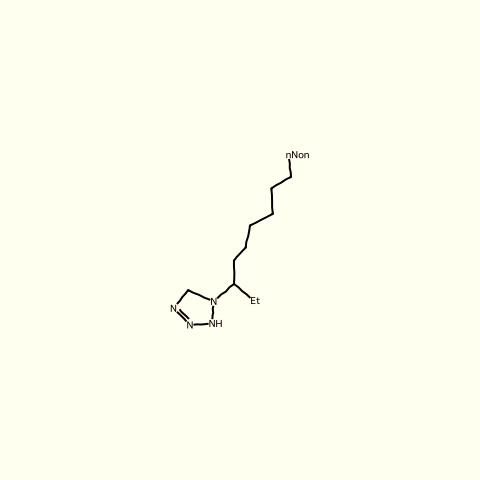 CCCCCCCCCCCCCCCC(CC)N1CN=NN1